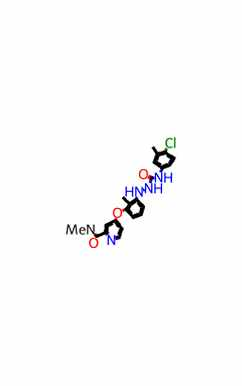 CNC(=O)c1cc(Oc2cccc(NNC(=O)Nc3ccc(Cl)c(C)c3)c2C)ccn1